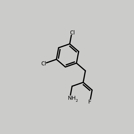 NC/C(=C\F)Cc1cc(Cl)cc(Cl)c1